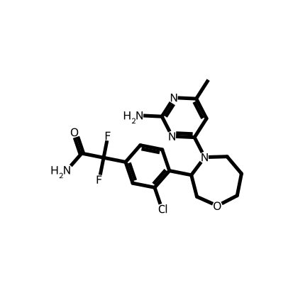 Cc1cc(N2CCCOCC2c2ccc(C(F)(F)C(N)=O)cc2Cl)nc(N)n1